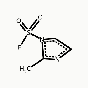 [CH2]c1nccn1S(=O)(=O)F